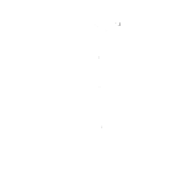 CCOC(C(=O)NCc1c(F)cc(C(=N)N)cc1F)c1c(F)cc(OC)cc1F